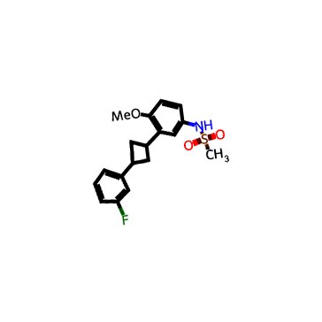 COc1ccc(NS(C)(=O)=O)cc1C1CC(c2cccc(F)c2)C1